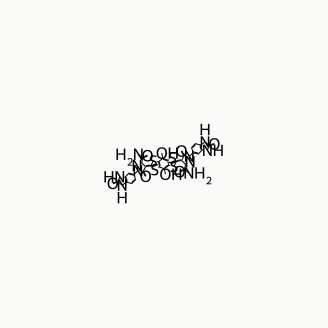 NC(=O)C1=NN(c2ccc3[nH]c(=O)[nH]c3c2)C(=O)C1=C1Sc2c(O)c3c(c(O)c2S1)SC(=C1C(=O)N(c2ccc4[nH]c(=O)[nH]c4c2)N=C1C(N)=O)S3